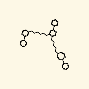 C1=CC(CCCCCc2cnc(-c3ccccc3)cc2CCCCCCc2ccnc(-c3ccccc3)c2)C=CC(c2ccccc2)=N1